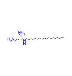 CCCCCCCC/C=C/CCCCCCCCNC(CCN)CCCN